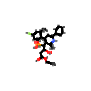 C=COC(=O)CC(O)C(c1c(-c2ccc(F)cc2C)cc(-c2ccccc2)nc1C(C)C)[PH](=O)O